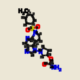 Cc1ccc(S(=O)(=O)n2ccc3c4c(cnc32)ncn4N2CC[C@@H](OC(N)=O)C2)cc1